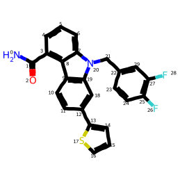 NC(=O)c1cccc2c1c1[c]cc(-c3cccs3)cc1n2Cc1ccc(F)c(F)c1